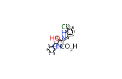 O=C(O)NC(Cc1ccccc1)C(O)CNCc1cccc(Cl)c1